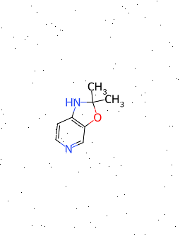 CC1(C)Nc2ccncc2O1